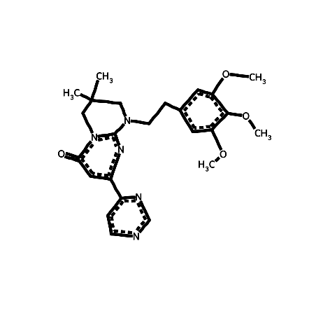 COc1cc(CCN2CC(C)(C)Cn3c2nc(-c2ccncn2)cc3=O)cc(OC)c1OC